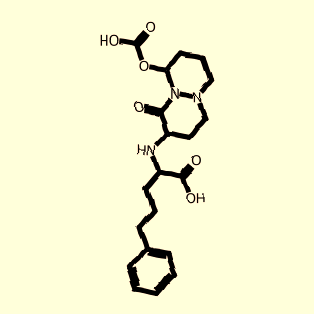 O=C(O)OC1CCCN2CCC(NC(CCCc3ccccc3)C(=O)O)C(=O)N12